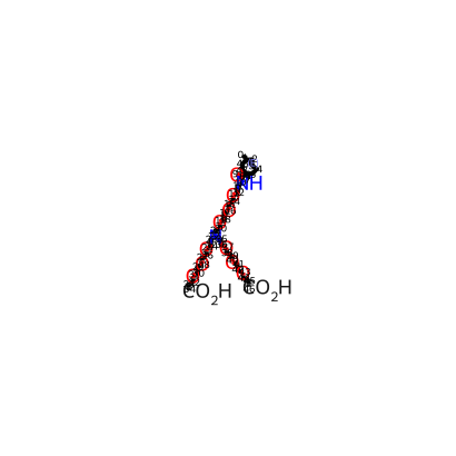 CC1/C=C/CCC(C)(C(=O)NCCOCCOCCOCCN(CCOCCOCCOCCC(=O)O)CCOCCOCCOCCC(=O)O)CC1